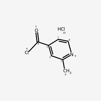 Cc1cc(C(=O)Cl)ccn1.Cl